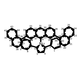 C1=CC(c2ccc(-c3ccccc3)n2-c2c3cc(-c4cccc5ccccc45)ccc3cc3ccc(-c4cccc5ccccc45)cc23)=CCC1